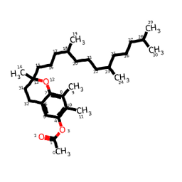 CC(=O)Oc1cc2c(c(C)c1C)OC(C)(CCCC(C)CCCC(C)CCCC(C)C)CC2